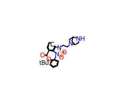 CC(C)(C)OC(=O)c1cccc2c1N(c1ccccc1)S(=O)(=O)N2CCN1CC2CC1CN2